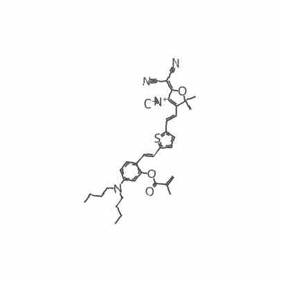 [C-]#[N+]C1=C(/C=C/c2ccc(/C=C/c3ccc(N(CCCC)CCCC)cc3OC(=O)C(=C)C)s2)C(C)(C)OC1=C(C#N)C#N